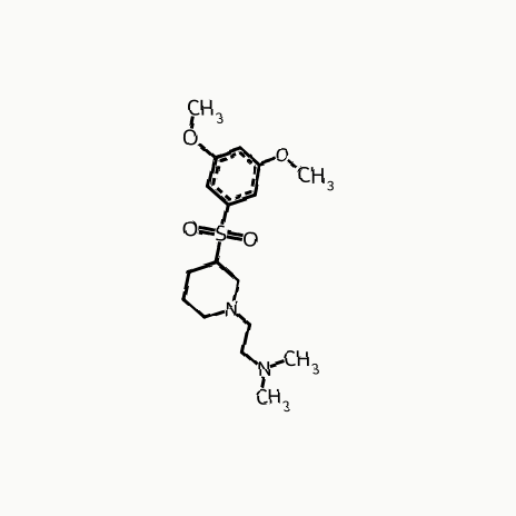 COc1cc(OC)cc(S(=O)(=O)C2CCCN(CCN(C)C)C2)c1